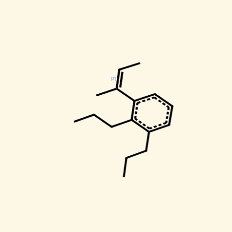 C/C=C(/C)c1cccc(CCC)c1CCC